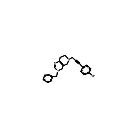 Brc1ccc(C#CCN2CCC3=C(CN(Cc4ccccc4)C=N3)C2)cc1